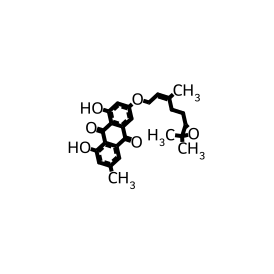 CC(=CCOc1cc(O)c2c(c1)C(=O)c1cc(C)cc(O)c1C2=O)CCC1OC1(C)C